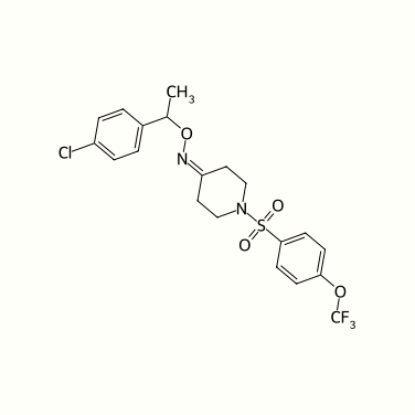 CC(ON=C1CCN(S(=O)(=O)c2ccc(OC(F)(F)F)cc2)CC1)c1ccc(Cl)cc1